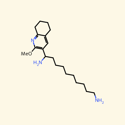 COc1nc2c(cc1C(N)CCCCCCCCCN)CCCC2